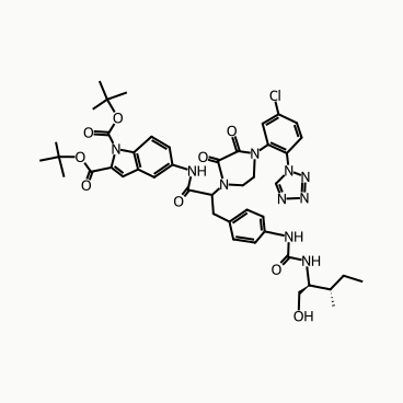 CC[C@H](C)[C@@H](CO)NC(=O)Nc1ccc(CC(C(=O)Nc2ccc3c(c2)cc(C(=O)OC(C)(C)C)n3C(=O)OC(C)(C)C)N2CCN(c3cc(Cl)ccc3-n3cnnn3)C(=O)C2=O)cc1